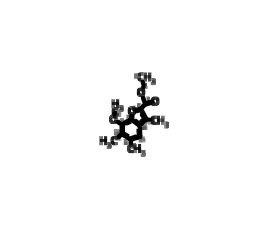 CCOC(=O)c1oc2c(OC)c(C)c(C)cc2c1C